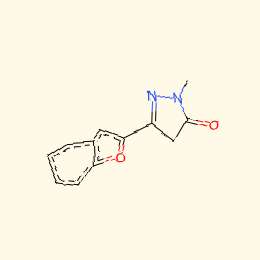 CN1N=C(c2cc3ccccc3o2)CC1=O